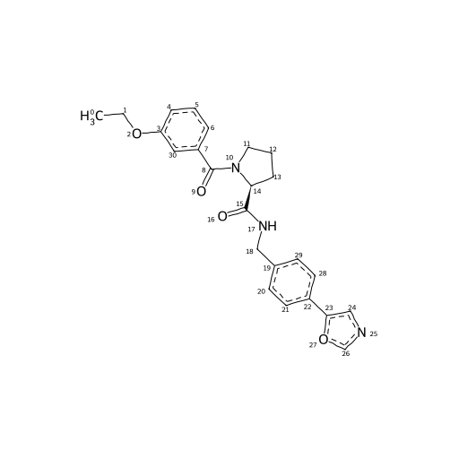 CCOc1cccc(C(=O)N2CCC[C@H]2C(=O)NCc2ccc(-c3cnco3)cc2)c1